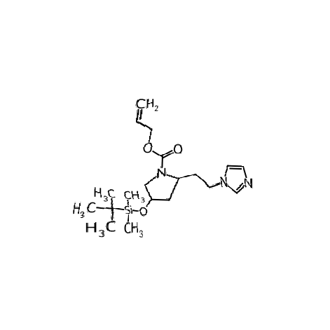 C=CCOC(=O)N1CC(O[Si](C)(C)C(C)(C)C)CC1CCn1ccnc1